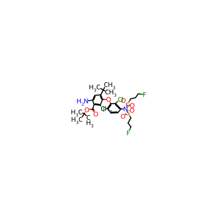 Cc1c(Oc2c(F)ccc(N(S(=O)(=O)CCCF)S(=O)(=O)CCCF)c2Cl)c(C(C)(C)C)cc(N)c1C(=O)OC(C)(C)C